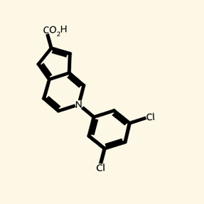 O=C(O)c1cc2ccn(-c3cc(Cl)cc(Cl)c3)cc-2c1